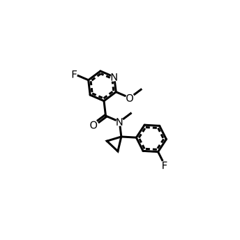 COc1ncc(F)cc1C(=O)N(C)C1(c2cccc(F)c2)CC1